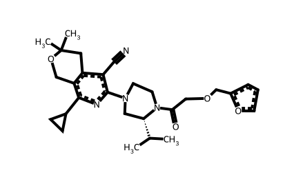 CC(C)[C@@H]1CN(c2nc(C3CC3)c3c(c2C#N)CC(C)(C)OC3)CCN1C(=O)COCc1ccco1